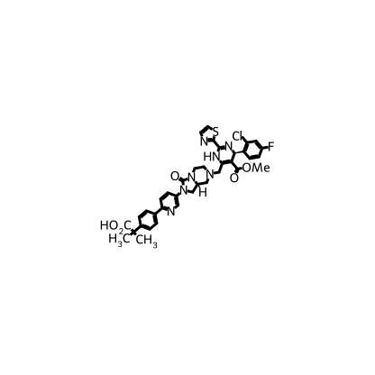 COC(=O)C1=C(CN2CCN3C(=O)N(c4ccc(-c5ccc(C(C)(C)C(=O)O)cc5)nc4)C[C@@H]3C2)NC(c2nccs2)=N[C@H]1c1ccc(F)cc1Cl